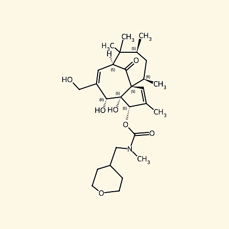 CC1=C[C@]23C(=O)[C@@H](C=C(CO)[C@@H](O)[C@]2(O)[C@H]1OC(=O)N(C)CC1CCOCC1)C(C)(C)[C@@H](C)C[C@H]3C